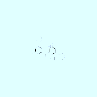 Cc1cc(C2CCCC2)c(O)c(C(C)c2cc(C)cc(C3CCCC3)c2O)c1